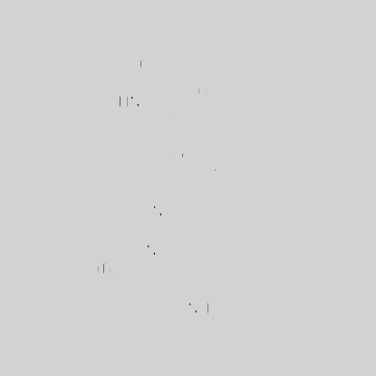 CC(C)NC(=O)OC1(c2cc(N)n(C(C)(C)C)n2)CCCC1